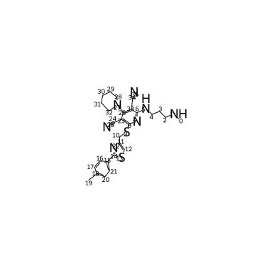 CNCCCNc1nc(SCc2csc(-c3ccc(C)cc3)n2)c(C#N)c(N2CCCCC2)c1C#N